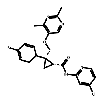 Cc1ncc(OC[C@@]2(C3C=CC(F)=CC3)C[C@H]2C(=O)Nc2cc(Cl)ccn2)c(C)n1